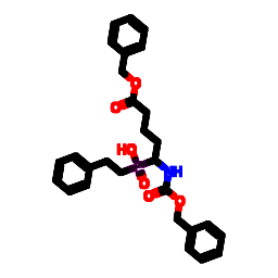 O=C(CCCC(NC(=O)OCc1ccccc1)P(=O)(O)CCc1ccccc1)OCc1ccccc1